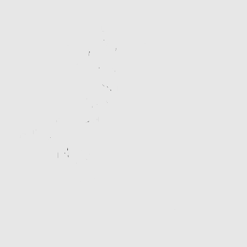 CCCCCC/C=C\CCCCCCCCCC(=O)N[C@H]1[C@H](OC[C@H]2O[C@H](OP=O)[C@H](NC(=O)CC(=O)CC)C(C)(OCCCC)[C@@H]2O)O[C@H](COC)[C@@H](OP(=O)=O)C1(C)OCC[C@@H](C)OC